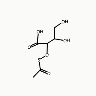 CC(=O)SOC(C(=O)O)C(O)CO